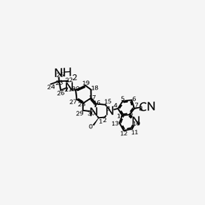 C[C@@H]1CN(c2ccc(C#N)c3ncccc23)CC2=C3CC=C(N4CC(C)(N)C4)C=C3CN21